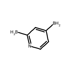 Bc1ccnc(B)c1